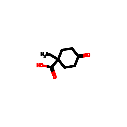 O=C1CCC([AsH2])(C(=O)O)CC1